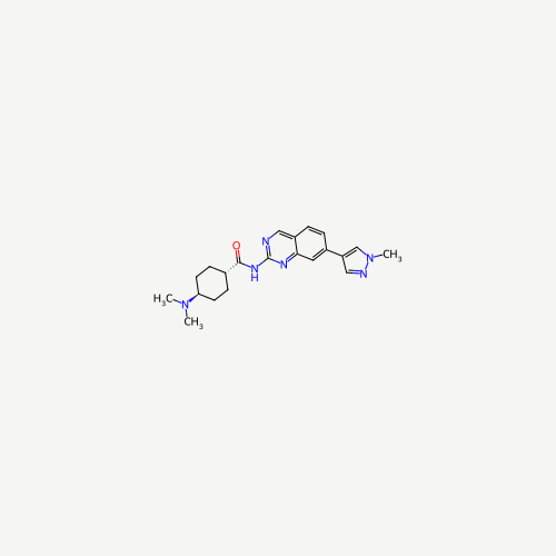 Cn1cc(-c2ccc3cnc(NC(=O)[C@H]4CC[C@H](N(C)C)CC4)nc3c2)cn1